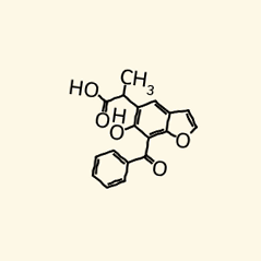 CC(C(=O)O)c1cc2ccoc2c(C(=O)c2ccccc2)c1O